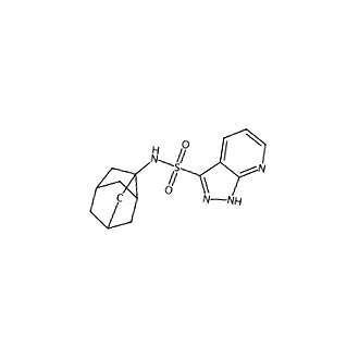 O=S(=O)(NC12CC3CC(CC1C3)C2)c1n[nH]c2ncccc12